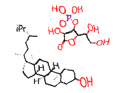 CC(C)[C@H](C)CC[C@@H](C)[C@H]1CC[C@H]2[C@@H]3CCC4CC(O)CC[C@]4(C)[C@H]3CC[C@]12C.O=C1O[C@H]([C@@H](O)CO)C(OP(=O)(O)O)=C1O